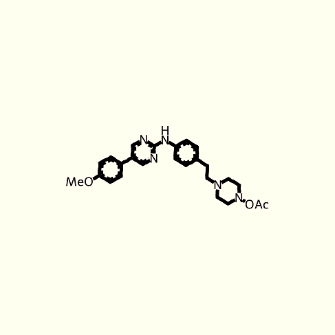 COc1ccc(-c2cnc(Nc3ccc(CCN4CCN(OC(C)=O)CC4)cc3)nc2)cc1